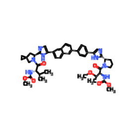 COC(=O)N[C@H](C(=O)N1CC2(CC2)C[C@H]1c1ncc(-c2ccc3cc(-c4ccc(-c5cnc([C@@H]6CCCN6C(=O)[C@@H](NC(=O)OC)C(C)OC)[nH]5)cc4)ccc3c2)[nH]1)C(C)C